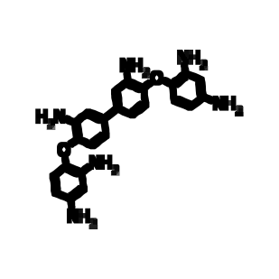 Nc1ccc(Oc2ccc(-c3ccc(Oc4ccc(N)cc4N)c(N)c3)cc2N)c(N)c1